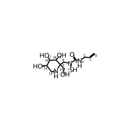 C=CCNC(=O)N(S)CC1(CO)NCC(O)C(O)C1O